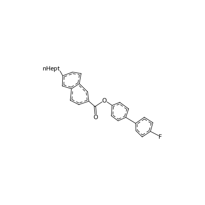 CCCCCCCc1ccc2cc(C(=O)Oc3ccc(-c4ccc(F)cc4)cc3)ccc2c1